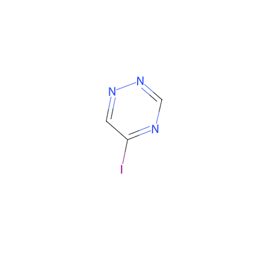 Ic1cnncn1